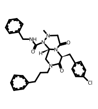 CN1CC(=O)N2[C@@H](Cc3ccc(Cl)cc3)C(=O)N(CCCc3ccccc3)C[C@@H]2N1C(=O)NCc1ccccc1